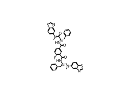 CN(C[C@H](Cc1ccccc1)NC(=O)c1cc(C(=O)N[C@@H](Cc2ccccc2)C(=O)N(C)c2ccc3scnc3c2)ccc1F)c1ccc2scnc2c1